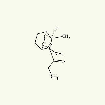 CCC(=O)C1=C[C@H](C)C2CCC1N(C)C2